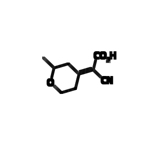 CC1CC(=C(C#N)C(=O)O)CCO1